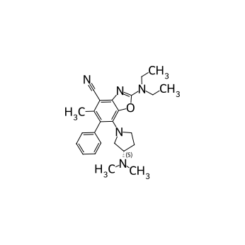 CCN(CC)c1nc2c(C#N)c(C)c(-c3ccccc3)c(N3CC[C@H](N(C)C)C3)c2o1